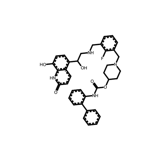 O=C(Nc1ccccc1-c1ccccc1)OC1CCN(Cc2cccc(CNCC(O)c3ccc(O)c4[nH]c(=O)ccc34)c2F)CC1